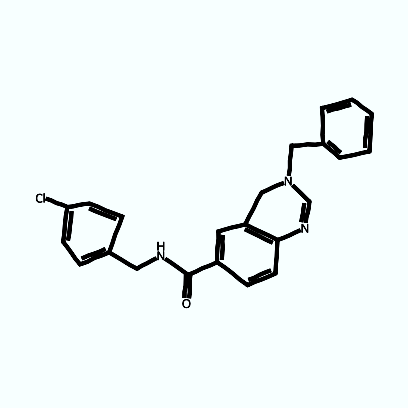 O=C(NCc1ccc(Cl)cc1)c1ccc2c(c1)CN(Cc1ccccc1)C=N2